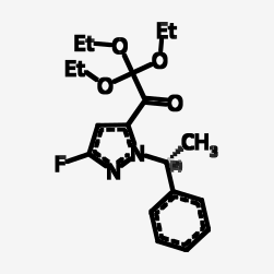 CCOC(OCC)(OCC)C(=O)c1cc(F)nn1[C@H](C)c1ccccc1